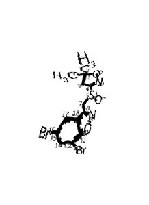 CC1(C)CC([S+]([O-])Cc2noc3c(Br)cc(Br)cc23)=NO1